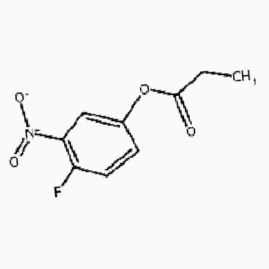 CCC(=O)Oc1ccc(F)c([N+](=O)[O-])c1